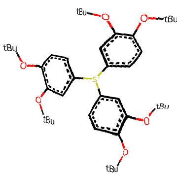 CC(C)(C)Oc1ccc([S+](c2ccc(OC(C)(C)C)c(OC(C)(C)C)c2)c2ccc(OC(C)(C)C)c(OC(C)(C)C)c2)cc1OC(C)(C)C